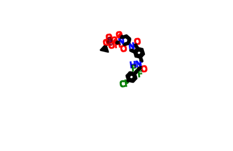 O=C1CCC(N2Cc3cc(CNC(=O)C(F)(F)c4ccc(Cl)cc4)ccc3C2=O)C(=O)N1COP(=O)(O)OC1CC1